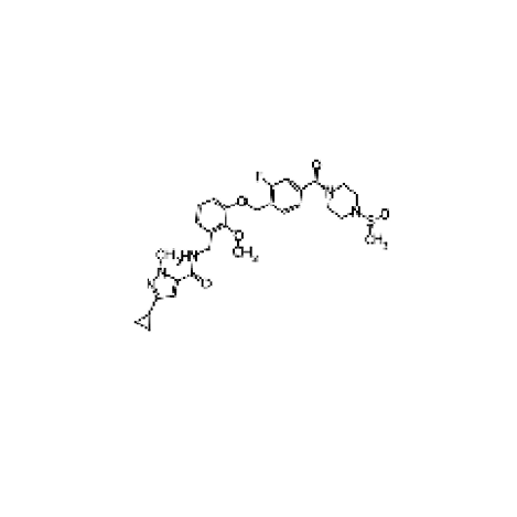 COc1c(CNC(=O)c2cc(C3CC3)nn2C)cccc1OCc1ccc(C(=O)N2CCN([S+](C)[O-])CC2)cc1F